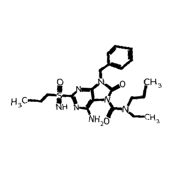 CCCN(CC)C(=O)n1c(=O)n(Cc2ccccc2)c2nc(S(=N)(=O)CCC)nc(N)c21